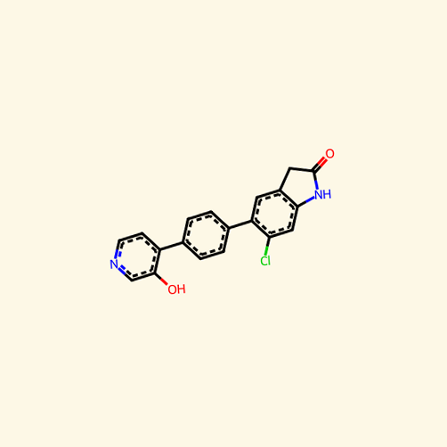 O=C1Cc2cc(-c3ccc(-c4ccncc4O)cc3)c(Cl)cc2N1